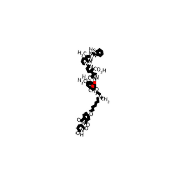 Cc1c(Nc2nc3ccccc3s2)nnc2c1CCCN2c1ccc(-c2cnn(CC34CC5(C)CC(C)(C3)CC(OCCN(C)CCCCCCCOc3ccc6c(c3)C(=O)N(C3CCC(=O)NC3=O)C6=O)(C5)C4)c2C)c(C(=O)O)n1